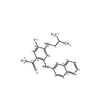 CC(C)CNc1nc(Nc2ccc3ncccc3c2)c(C(N)=O)cc1F